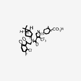 C[C@@H]1C[C@@H](n2ncc(C(=O)N(CC(=O)c3c(Cl)ccc(F)c3Cl)[C@@H]3C[C@@H]4[C@H](C3)C4(C)C)c2C(F)(F)F)CC[C@@H]1C(=O)O